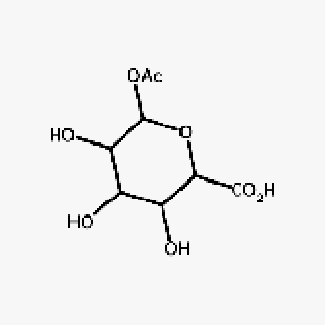 CC(=O)OC1OC(C(=O)O)C(O)C(O)C1O